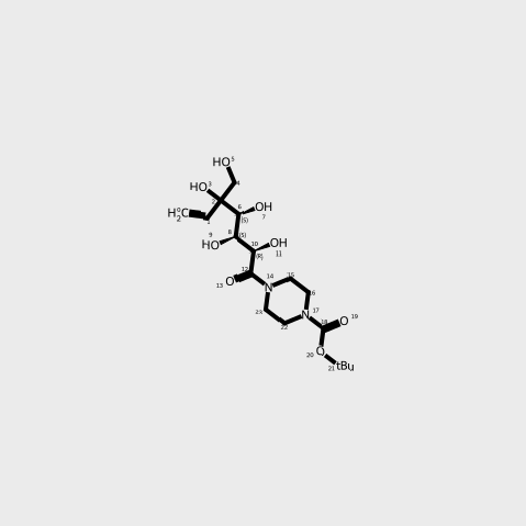 C=CC(O)(CO)[C@@H](O)[C@H](O)[C@@H](O)C(=O)N1CCN(C(=O)OC(C)(C)C)CC1